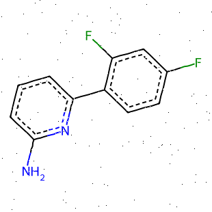 Nc1cccc(-c2ccc(F)cc2F)n1